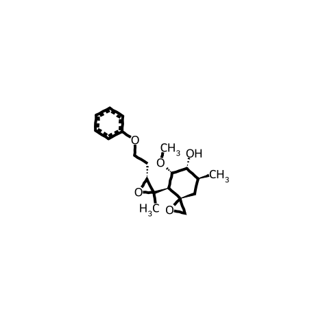 CO[C@@H]1[C@H](O)[C@@H](C)C[C@]2(CO2)[C@H]1C1(C)O[C@@H]1CCOc1ccccc1